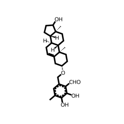 Cc1cc(CO[C@H]2CC[C@@]3(C)C(=CC[C@@H]4[C@@H]3CC[C@]3(C)C(O)CC[C@@H]43)C2)c(C=O)c(O)c1O